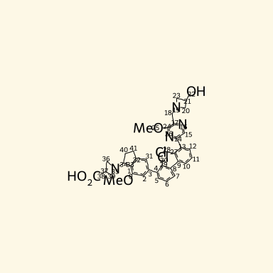 COc1cc(-c2cccc(-c3cccc(-c4cnc(CN5CC(O)C5)c(OC)n4)c3Cl)c2Cl)cc2c1C(N1CC(C(=O)O)C1)CC2